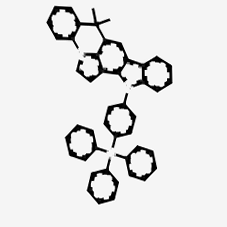 CC1(C)c2ccccc2-n2ccc3c2c1cc1c2ccccc2n(-c2ccc([Si](c4ccccc4)(c4ccccc4)c4ccccc4)cc2)c13